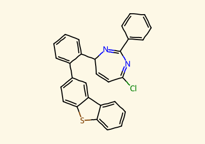 ClC1=NC(c2ccccc2)=NC(c2ccccc2-c2ccc3sc4ccccc4c3c2)C=C1